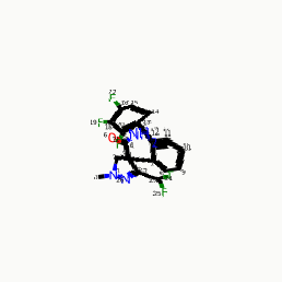 CN1CC(C(N)=O)(c2ccccc2-c2ccc(F)c(F)c2F)C(C(F)F)=N1